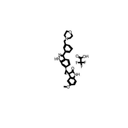 COc1ccc2c(c1)[C@]1(C[C@H]1c1ccc3c(-c4cccc(CN5CCOCC5)c4)n[nH]c3c1)C(=O)N2.O=C(O)C(F)(F)F